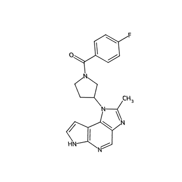 Cc1nc2cnc3[nH]ccc3c2n1C1CCN(C(=O)c2ccc(F)cc2)C1